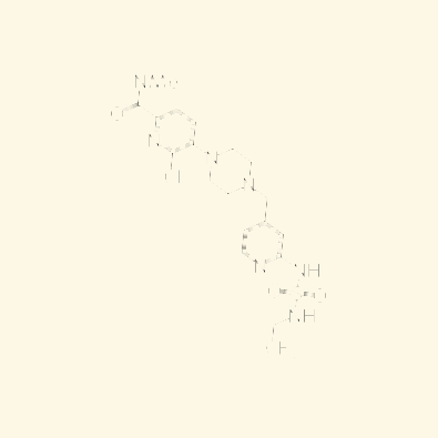 CNC(=O)c1ccc(N2CCN(Cc3ccnc(NS(=O)(=O)NCC(F)(F)F)c3)CC2)c(C)n1